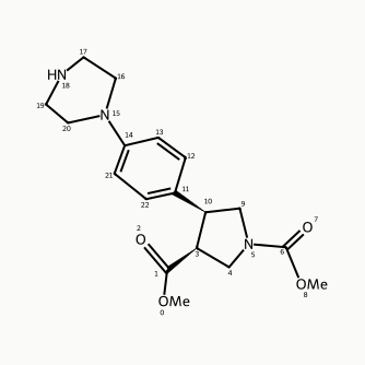 COC(=O)[C@@H]1CN(C(=O)OC)C[C@@H]1c1ccc(N2CCNCC2)cc1